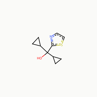 OC(c1nccs1)(C1CC1)C1CC1